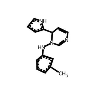 Cc1cccc(NN2C=NC=CC2c2ccc[nH]2)c1